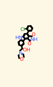 O=C1NC(=O)c2c1c(-c1ccccc1Cl)cc1[nH]c3ccc(C(O)CN4CCOCC4)cc3c21